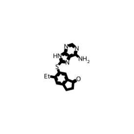 CCc1cc2c(cc1Sc1nc3c(N)ncnc3[nH]1)C(=O)CC2